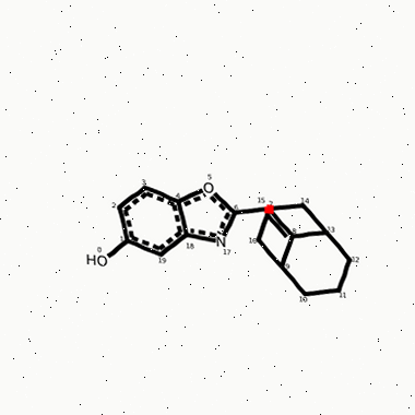 Oc1ccc2oc(C=C3C4CCCC3CCC4)nc2c1